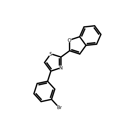 Brc1cccc(-c2csc(-c3cc4ccccc4o3)n2)c1